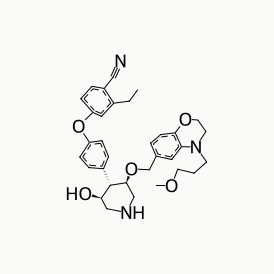 CCc1cc(Oc2ccc([C@H]3[C@H](O)CNC[C@@H]3OCc3ccc4c(c3)N(CCCOC)CCO4)cc2)ccc1C#N